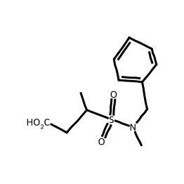 CC(CC(=O)O)S(=O)(=O)N(C)Cc1ccccc1